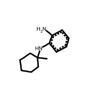 CC1(Nc2ccccc2N)CCCCC1